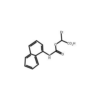 CCC(OC(=O)Nc1cccc2ccccc12)C(=O)O